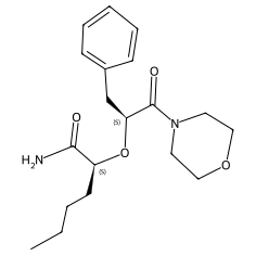 CCCC[C@H](O[C@@H](Cc1ccccc1)C(=O)N1CCOCC1)C(N)=O